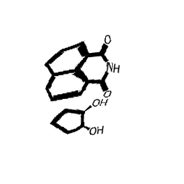 O=C1NC(=O)c2cccc3cccc1c23.O[C@@H]1CCC[C@@H]1O